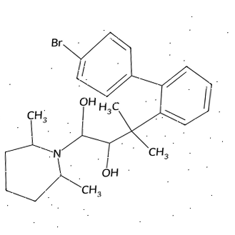 CC1CCCC(C)N1C(O)C(O)C(C)(C)c1ccccc1-c1ccc(Br)cc1